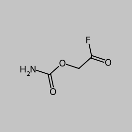 NC(=O)OCC(=O)F